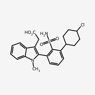 Cn1c(-c2cccc(C3CCC(Cl)CC3)c2S(N)(=O)=O)c(CC(=O)O)c2ccccc21